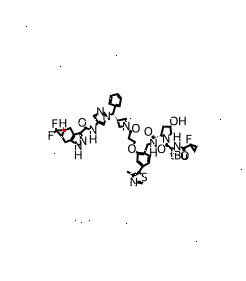 Cc1ncsc1-c1ccc(CNC(=O)[C@@H]2C[C@@H](O)CN2C(=O)[C@@H](NC(=O)C2(F)CC2)C(C)(C)C)c(OCCC(=O)N2CC([C@@H](c3ccccc3)n3cc(NC(=O)c4n[nH]c5c4C[C@@H]4C(F)(F)[C@]4(C)C5)cn3)C2)c1